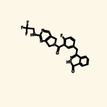 O=C(c1cc(Cc2n[nH]c(=O)c3ccccc23)ccc1F)N1Cc2cnc(NCC(F)(F)F)nc2C1